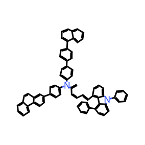 C=C(/C=C\C=C(/C)c1cccc2c1c1c(-c3ccccc3)cccc1n2-c1ccccc1)N(c1ccc(-c2ccc(-c3cccc4ccccc34)cc2)cc1)c1ccc(-c2ccc3c(ccc4ccccc43)c2)cc1